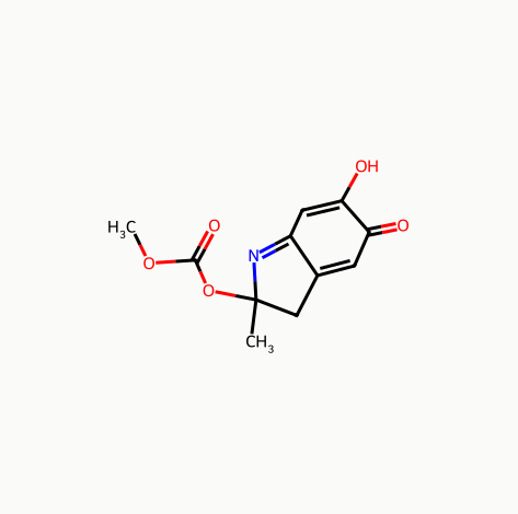 COC(=O)OC1(C)CC2=CC(=O)C(O)=CC2=N1